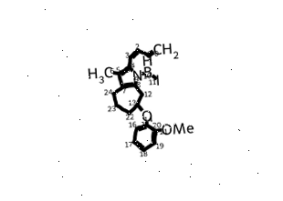 C=C/C=C\c1c(C)c2c(n1BI)CC(Oc1ccccc1OC)CCC2